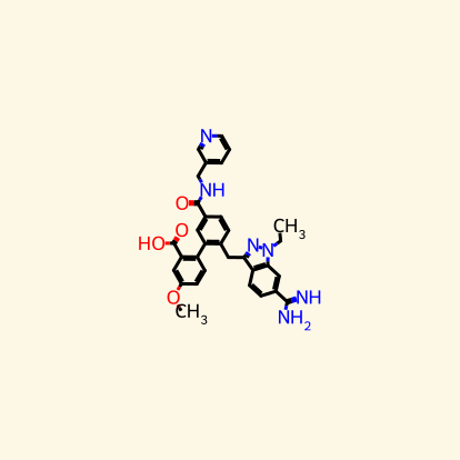 CCn1nc(Cc2ccc(C(=O)NCc3cccnc3)cc2-c2ccc(OC)cc2C(=O)O)c2ccc(C(=N)N)cc21